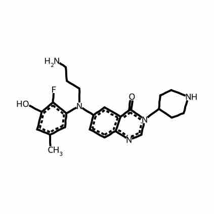 Cc1cc(O)c(F)c(N(CCCN)c2ccc3ncn(C4CCNCC4)c(=O)c3c2)c1